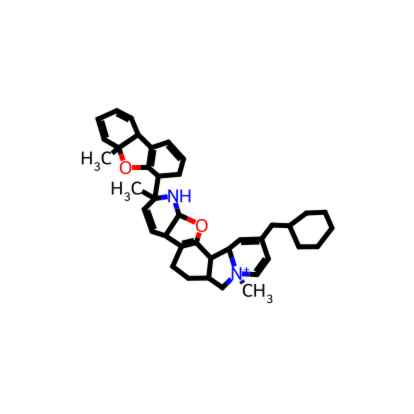 CC1(C2CC=CC3=C2OC2(C)C=CC=CC32)C=CC2C3=C(OC2N1)C1C(CC3)C[N+]2(C)C=CC(CC3CCCCC3)=CC12